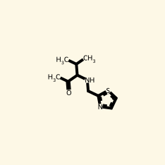 CC(=O)C(NCc1nccs1)C(C)C